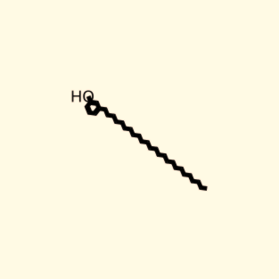 CCCCCCCCCCCCCCCCCCCCCCCCCc1cccc(O)c1